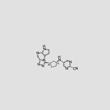 N#Cc1ncc(N[C@H]2CC[C@@H](c3nnc4cnc5[nH]ccc5n34)C2)cn1